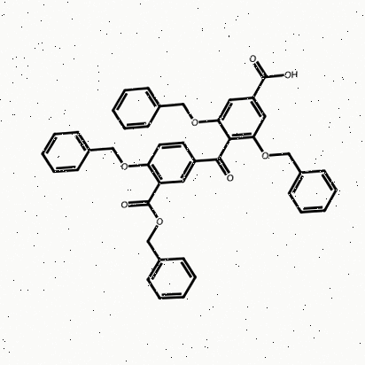 O=C(O)c1cc(OCc2ccccc2)c(C(=O)c2ccc(OCc3ccccc3)c(C(=O)OCc3ccccc3)c2)c(OCc2ccccc2)c1